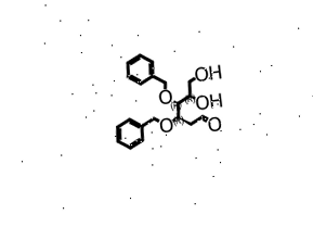 O=CC[C@@H](OCc1ccccc1)[C@H](OCc1ccccc1)[C@H](O)CO